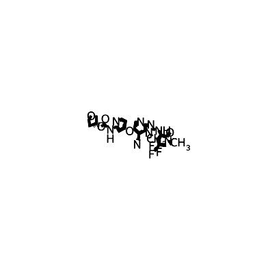 Cn1cc(C(F)(F)F)cc(Nc2nc3ncc(Oc4ccnc(NC(=O)O[C@@H]5CCOC5)c4)c(C#N)c3n2C)c1=O